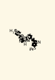 CC(C)Sc1ccc(C2(CC#N)CN(C3=CC=CN4NC(Nc5cnn(CC(=O)N6CCN(C)CC6)c5)N=C34)C2)cc1